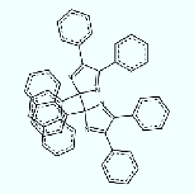 c1ccc(C2=NC(c3cccc4ccccc34)(C3(c4cccc5ccccc45)N=C(c4ccccc4)C(c4ccccc4)=N3)N=C2c2ccccc2)cc1